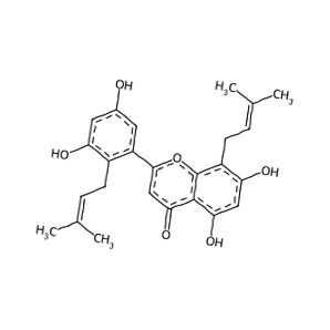 CC(C)=CCc1c(O)cc(O)cc1-c1cc(=O)c2c(O)cc(O)c(CC=C(C)C)c2o1